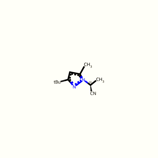 Cc1cc(C(C)(C)C)nn1[C@@H](C)C#N